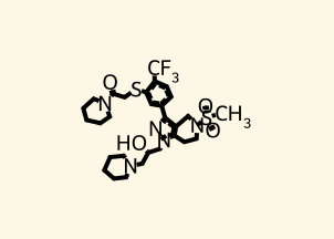 CS(=O)(=O)N1CCc2c(c(-c3ccc(C(F)(F)F)c(SCC(=O)N4CCCCC4)c3)nn2CC(O)CN2CCCCC2)C1